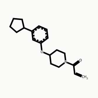 C=CC(=O)N1CCC(Oc2cccc(C3CCCC3)c2)CC1